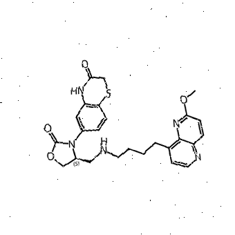 COc1ccc2nccc(CCCCNC[C@H]3COC(=O)N3c3ccc4c(c3)NC(=O)CS4)c2n1